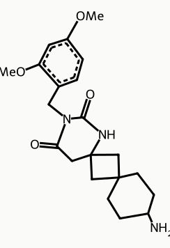 COc1ccc(CN2C(=O)CC3(CC4(CCC(N)CC4)C3)NC2=O)c(OC)c1